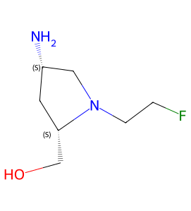 N[C@H]1C[C@@H](CO)N(CCF)C1